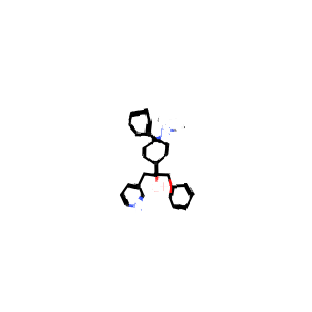 CN(C)C1(c2ccccc2)CCC(C(O)(Cc2ccccc2)Cc2cccnc2)CC1